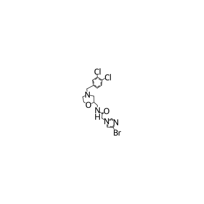 O=C(Cn1cnc(Br)c1)NCC1CN(Cc2ccc(Cl)c(Cl)c2)CCO1